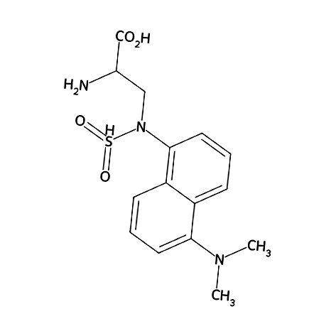 CN(C)c1cccc2c(N(CC(N)C(=O)O)[SH](=O)=O)cccc12